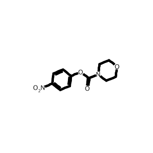 O=C(Oc1ccc([N+](=O)[O-])cc1)N1CCOCC1